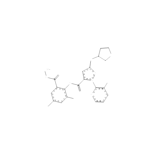 CONC(=O)c1cc(Cl)cc(Cl)c1NC(=O)c1cc(OC2CCSC2)nn1-c1ncccc1Cl